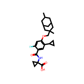 CC1CC2CC(C1)CC(C)(COc1cc(F)c(C(=O)NC3(C(=O)O)CC3)cc1C1CC1)C2